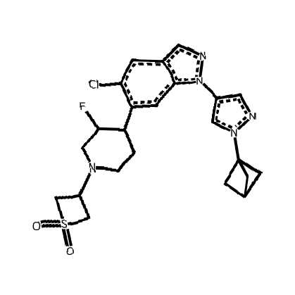 O=S1(=O)CC(N2CCC(c3cc4c(cnn4-c4cnn(C56CC(C5)C6)c4)cc3Cl)C(F)C2)C1